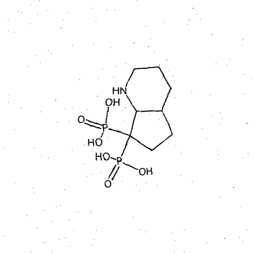 O=P(O)(O)C1(P(=O)(O)O)CCC2CCCNC21